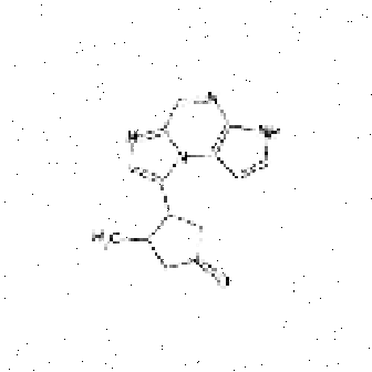 CC1CC(=O)CC1c1cnc2cnc3[nH]ccc3n12